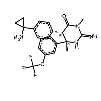 CN1C(=N)N[C@](C)(c2cccc(OC(F)(F)F)c2)[C@H](c2ccc(C3(N)CC3)cc2)C1=O